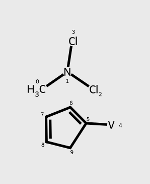 CN(Cl)Cl.[V][C]1=CC=CC1